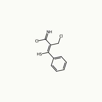 N=C(Cl)/C(CCl)=C(\S)c1ccccc1